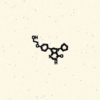 O=c1[nH]cnc2c(-c3ccc(OCCO)cc3)cn(-c3ccccc3)c12